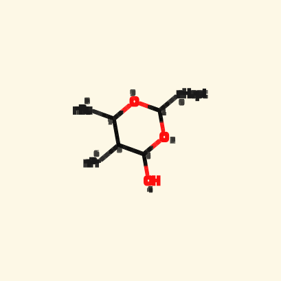 CCCCCCCC1OC(O)C(CCC)C(CCCC)O1